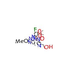 COc1cnc2c(-c3nc4cc(F)c(O[C@@H](C)[C@@H](C)OC(=O)Nc5ccnc(CCO)c5)cc4s3)cc(C)cc2n1